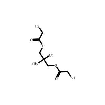 CCCCC(CC)(COC(=O)CS)COC(=O)CS